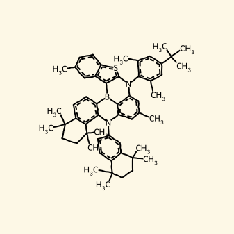 Cc1cc2c3c(c1)N(c1c(C)cc(C(C)(C)C)cc1C)c1sc4ccc(C)cc4c1B3c1ccc3c(c1N2c1ccc2c(c1)C(C)(C)CCC2(C)C)C(C)(C)CCC3(C)C